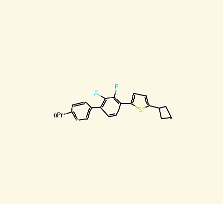 CCCc1ccc(-c2ccc(-c3ccc(C4CCC4)s3)c(F)c2F)cc1